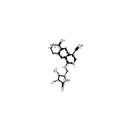 C#Cc1cnc(OC[C@H]2NC(=O)[C@@H](F)[C@H]2CC)c2cc3c(cc12)C(=O)NCC3